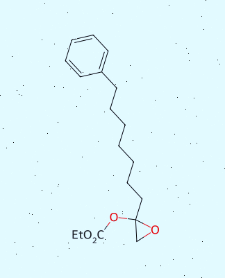 CCOC(=O)OC1(CCCCCCCc2ccccc2)CO1